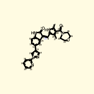 Cc1[nH]c(/C=C2\C(=O)Nc3ccc(-c4cnn(-c5ccccn5)c4)cc32)c(C)c1C(=O)N1CCOCC1